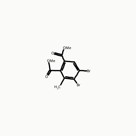 COC(=O)c1cc(Br)c(Br)c(C)c1C(=O)OC